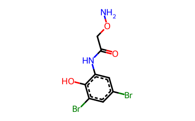 NOCC(=O)Nc1cc(Br)cc(Br)c1O